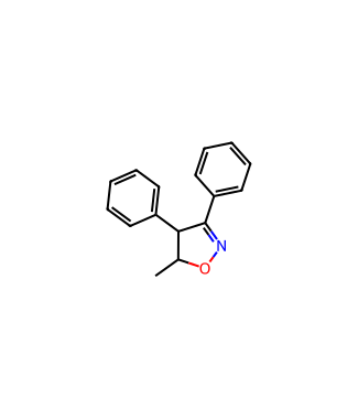 CC1ON=C(c2ccccc2)C1c1ccccc1